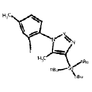 CCC[CH2][Sn]([CH2]CCC)([CH2]CCC)[c]1nnn(-c2ccc(C)cc2F)c1C